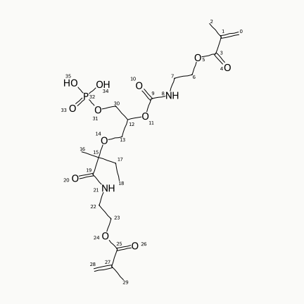 C=C(C)C(=O)OCCNC(=O)OC(COC(C)(CC)C(=O)NCCOC(=O)C(=C)C)COP(=O)(O)O